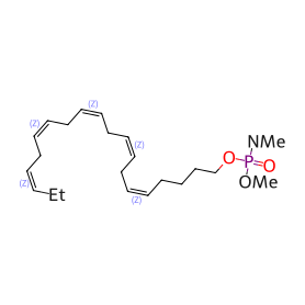 CC/C=C\C/C=C\C/C=C\C/C=C\C/C=C\CCCCOP(=O)(NC)OC